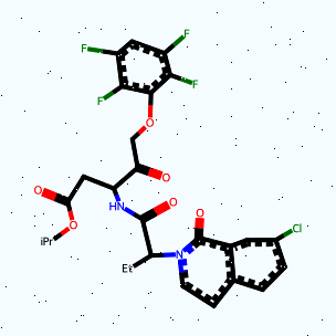 CCC(C(=O)NC(CC(=O)OC(C)C)C(=O)COc1c(F)c(F)cc(F)c1F)n1ccc2ccc(Cl)cc2c1=O